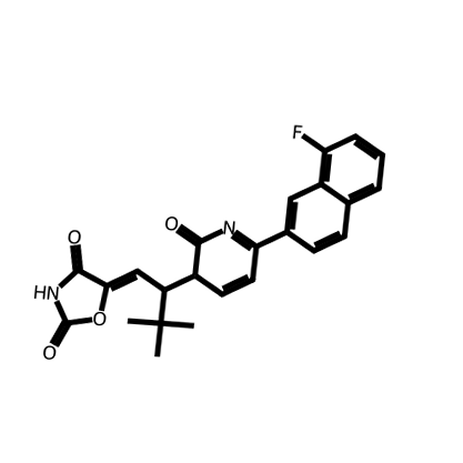 CC(C)(C)C(/C=C1\OC(=O)NC1=O)C1C=CC(c2ccc3cccc(F)c3c2)=NC1=O